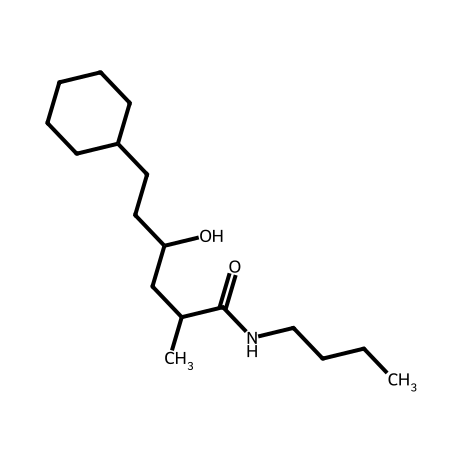 CCCCNC(=O)C(C)CC(O)CCC1CCCCC1